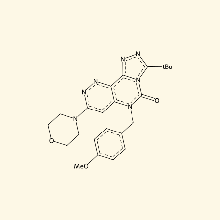 COc1ccc(Cn2c(=O)n3c(C(C)(C)C)nnc3c3nnc(N4CCOCC4)cc32)cc1